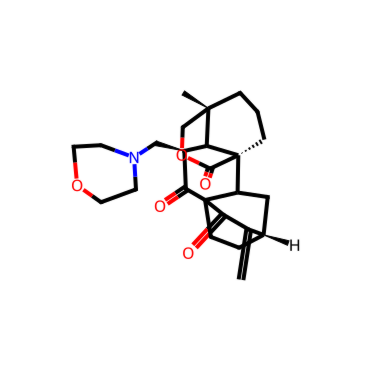 C=C1C(=O)C23CC[C@H]1CC2[C@@]12CCC[C@@](C)(COC1=O)C2[C@H](CN1CCOCC1)C3=O